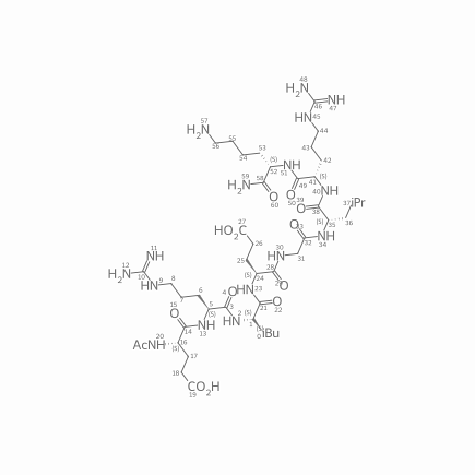 CC[C@H](C)[C@H](NC(=O)[C@H](CCCNC(=N)N)NC(=O)[C@H](CCC(=O)O)NC(C)=O)C(=O)N[C@@H](CCC(=O)O)C(=O)NCC(=O)N[C@@H](CC(C)C)C(=O)N[C@@H](CCCNC(=N)N)C(=O)N[C@@H](CCCCN)C(N)=O